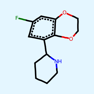 Fc1cc2c(c(C3CCCCN3)c1)OCCO2